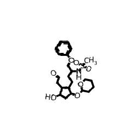 CS(=O)(=O)NC(CCC1C(OC2CCCCO2)CC(O)C1CC=O)COc1ccccc1